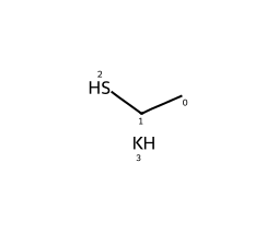 CCS.[KH]